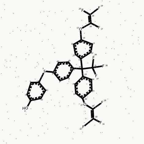 Oc1ccc(Sc2ccc(C(c3ccc(OC(F)=C(F)F)cc3)(c3ccc(OC(F)=C(F)F)cc3)C(F)(F)F)cc2)cc1